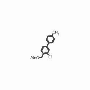 COCc1ccc(-c2ccc(C)cc2)cc1Cl